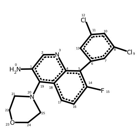 Nc1cnc2c(-c3cc(Cl)cc(Cl)c3)c(F)ccc2c1N1CCOCC1